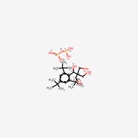 CC(C)(C)c1cc(C(C)(C)C)c(C(O)C(CO)(CO)CO)c(C(C)(C)C)c1.OP(O)OP(O)O